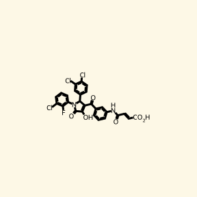 O=C(O)C=CC(=O)Nc1cccc(C(=O)C2=C(O)C(=O)N(c3cccc(Cl)c3F)C2c2ccc(Cl)c(Cl)c2)c1